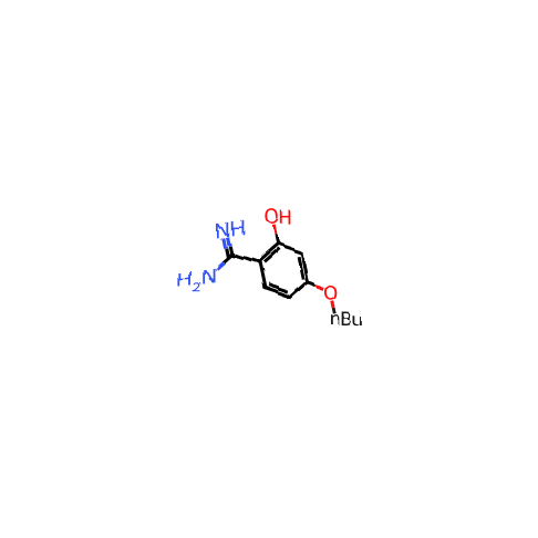 CCCCOc1ccc(C(=N)N)c(O)c1